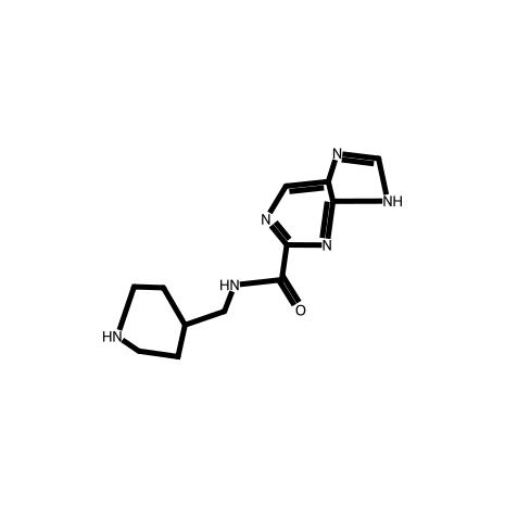 O=C(NCC1CCNCC1)c1ncc2nc[nH]c2n1